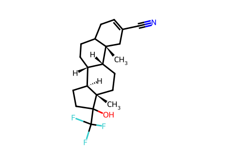 C[C@]12CC(C#N)=CCC1CC[C@@H]1[C@H]2CC[C@@]2(C)[C@H]1CCC2(O)C(F)(F)F